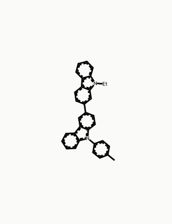 CCn1c2ccccc2c2ccc(-c3ccc4c(c3)c3ccccc3n4-c3ccc(C)cc3)cc21